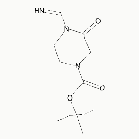 CC(C)(C)OC(=O)N1CCN(C=N)C(=O)C1